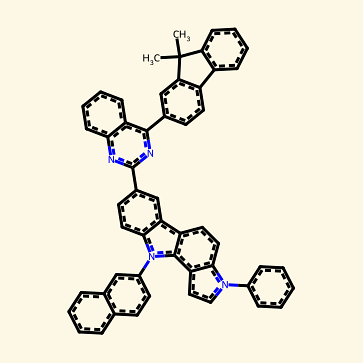 CC1(C)c2ccccc2-c2ccc(-c3nc(-c4ccc5c(c4)c4ccc6c(ccn6-c6ccccc6)c4n5-c4ccc5ccccc5c4)nc4ccccc34)cc21